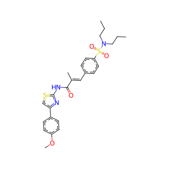 CCCN(CCC)S(=O)(=O)c1ccc(/C=C(\C)C(=O)Nc2nc(-c3ccc(OC)cc3)cs2)cc1